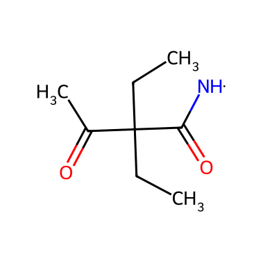 CCC(CC)(C(C)=O)C([NH])=O